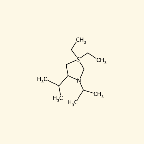 CCS1(CC)CC(C(C)C)N(C(C)C)C1